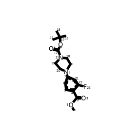 COC(=O)c1ccc(N2CCN(C(=O)OC(C)(C)C)CC2)cc1F